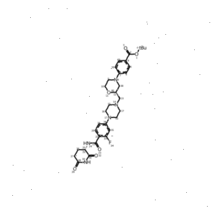 CC(C)(C)OC(=O)c1ccc(N2CCO[C@H](CN3CCN(c4ccc(C(=O)N[C@H]5CCC(=O)NC5=O)c(F)c4)CC3)C2)cc1